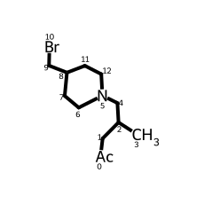 CC(=O)CC(C)CN1CCC(CBr)CC1